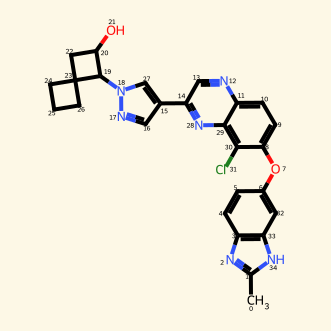 Cc1nc2ccc(Oc3ccc4ncc(-c5cnn(C6C(O)CC67CCC7)c5)nc4c3Cl)cc2[nH]1